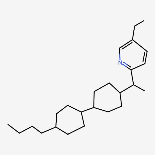 CCCCC1CCC(C2CCC(C(C)c3ccc(CC)cn3)CC2)CC1